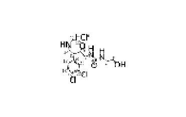 Cl.O=C(NCCO)NCC1OCCNCC1c1ccc(Cl)c(Cl)c1